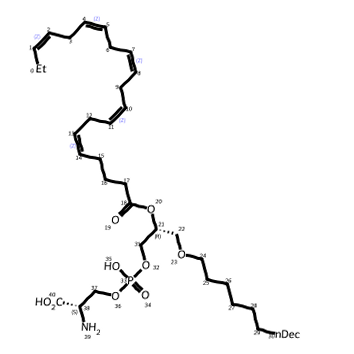 CC/C=C\C/C=C\C/C=C\C/C=C\C/C=C\CCCC(=O)O[C@H](COCCCCCCCCCCCCCCCC)COP(=O)(O)OC[C@H](N)C(=O)O